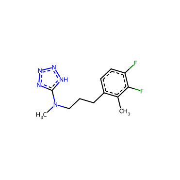 Cc1c(CCCN(C)c2nnn[nH]2)ccc(F)c1F